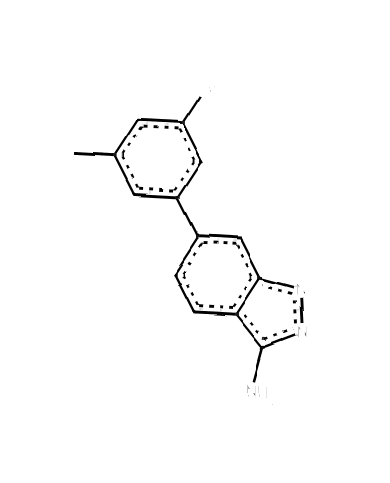 Cc1cc(Br)cc(-c2ccc3c(N)n[nH]c3c2)c1